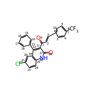 O=C(C=Cc1ccc(C(F)(F)F)cc1)c1c(-c2ccccc2)c2cc(Cl)ccc2[nH]c1=O